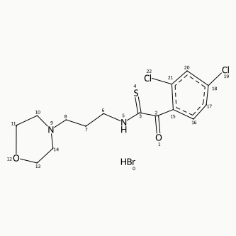 Br.O=C(C(=S)NCCCN1CCOCC1)c1ccc(Cl)cc1Cl